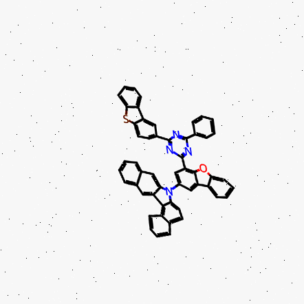 c1ccc(-c2nc(-c3ccc4sc5ccccc5c4c3)nc(-c3cc(-n4c5cc6ccccc6cc5c5c6ccccc6ccc54)cc4c3oc3ccccc34)n2)cc1